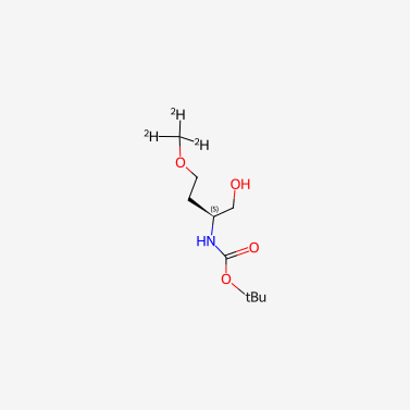 [2H]C([2H])([2H])OCC[C@@H](CO)NC(=O)OC(C)(C)C